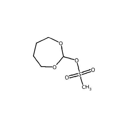 CS(=O)(=O)OC1OCCCCO1